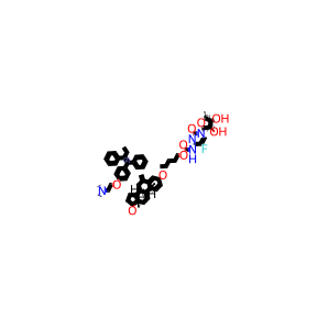 C=C1C[C@@H]2[C@H](CC[C@]3(C)C(=O)CC[C@@H]23)[C@@]2(C)C=CC(=O)C=C12.CC/C(=C(\c1ccccc1)c1ccc(OCCN(C)C)cc1)c1ccccc1.CCCCCOC(=O)Nc1nc(=O)n([C@@H]2O[C@H](C)[C@@H](O)[C@H]2O)cc1F